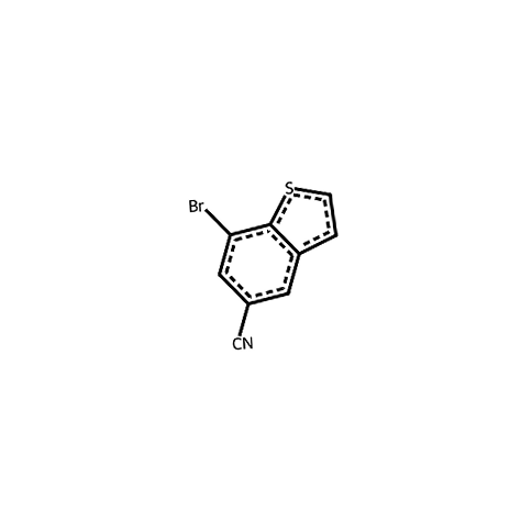 N#Cc1cc(Br)c2sccc2c1